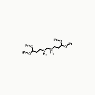 CC(C)OC(CC[SiH2]C[SiH2]CCC(OC(C)C)OC(C)C)OC(C)C